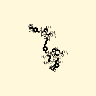 CC(=O)N1CC[C@H]2CC[C@@H](C(=O)NC(CCC(N)=O)[C@@H](C)OCc3ccc(CCCCC(=O)N[C@H](C(O)N4C[C@H](O)C[C@H]4C(=O)NCc4ccc(-c5scnc5C)cc4)C(C)(C)C)cc3)N2C(=O)[C@@H](NC(=O)C2Nc3ccc(C(=O)P(=O)(O)O)cc3C2C)C1